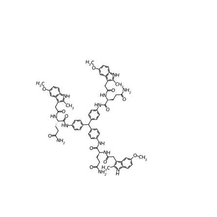 COc1ccc2[nH]c(C)c(CC(=O)N[C@@H](CCC(N)=O)C(=O)Nc3ccc(C(c4ccc(NC(=O)[C@H](CCC(N)=O)NC(=O)Cc5c(C)[nH]c6ccc(OC)cc56)cc4)c4ccc(NC(=O)[C@H](CCC(N)=O)NC(=O)Cc5c(C)[nH]c6ccc(OC)cc56)cc4)cc3)c2c1